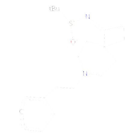 CC(C)(C)[S+]([O-])/N=C1/CCC12CCN(CCc1ccccc1)CC2